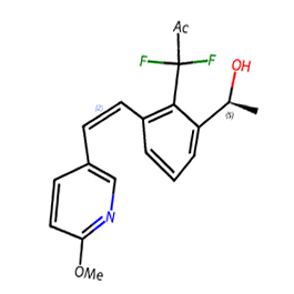 COc1ccc(/C=C\c2cccc([C@H](C)O)c2C(F)(F)C(C)=O)cn1